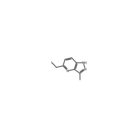 Cc1n[nH]c2ccc(CI)nc12